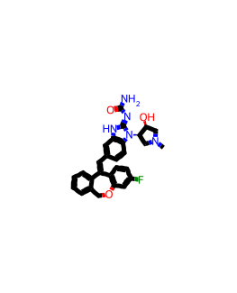 CN1C[C@H](O)[C@@H](n2c(=NC(N)=O)[nH]c3cc(C=C4c5ccccc5COc5cc(F)ccc54)ccc32)C1